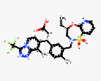 CC[C@@H]1CN(Cc2cc([C@@H](CC(=O)O)c3ccn4c(C(F)(F)F)nnc4c3C)ccc2C)S(=O)(=O)c2cccnc2O1